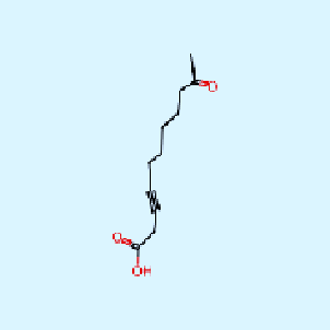 CC(=O)CCCCCC#CCC(=O)O